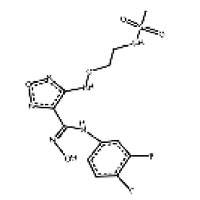 CS(=O)(=O)NCCONc1nonc1/C(=N/O)Nc1ccc(F)c(F)c1